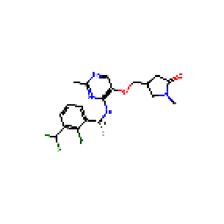 Cc1ncc(OCC2CC(=O)N(C)C2)c(N[C@H](C)c2cccc(C(F)F)c2F)n1